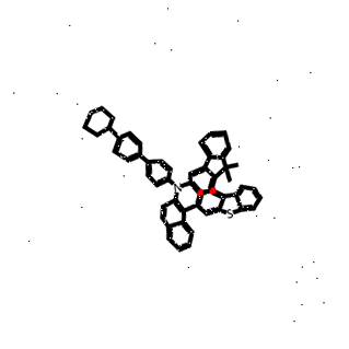 CC1(C)c2ccccc2-c2cc(N(c3ccc(-c4ccc(C5CCCCC5)cc4)cc3)c3ccc4ccccc4c3-c3ccc4c(c3)sc3ccccc34)ccc21